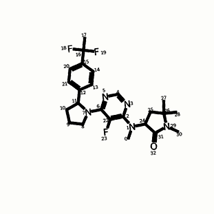 CN(c1ncnc(N2CCCC2c2ccc(C(C)(F)F)cc2)c1F)C1CC(C)(C)N(C)C1=O